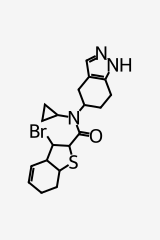 O=C(C1SC2CCC=CC2C1Br)N(C1CC1)C1CCc2[nH]ncc2C1